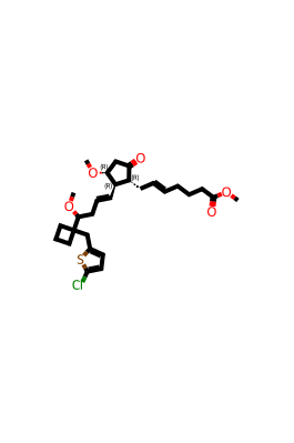 COC(=O)CCCC=CC[C@H]1C(=O)C[C@@H](OC)[C@@H]1C=CCC(OC)C1(Cc2ccc(Cl)s2)CCC1